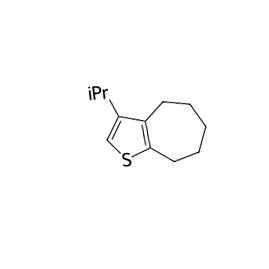 CC(C)c1csc2c1CCCCC2